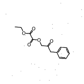 CCOC(=O)C(=O)OCC(=O)Cc1ccccc1